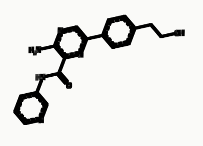 Nc1ncc(-c2ccc(CCO)cc2)nc1C(=O)Nc1cccnc1